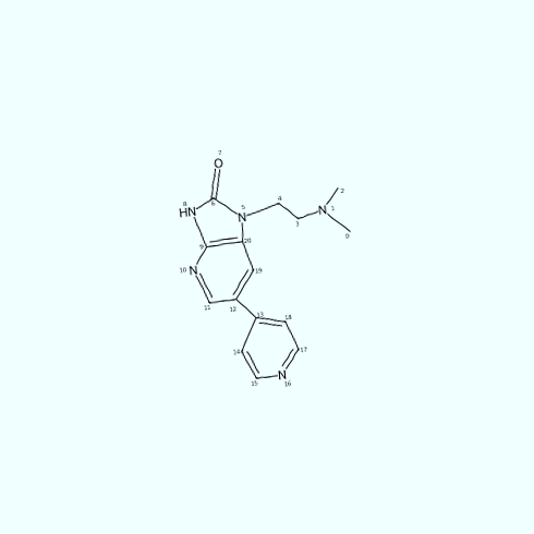 CN(C)CCn1c(=O)[nH]c2ncc(-c3ccncc3)cc21